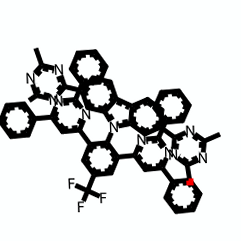 Cc1nc(C)nc(-c2ccc3c4ccc(-c5nc(C)nc(C)n5)cc4n(-c4c(-c5cc(-c6ccccc6)nc(-c6ccccc6)n5)cc(C(F)(F)F)cc4-c4cc(-c5ccccc5)nc(-c5ccccc5)n4)c3c2)n1